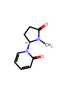 CN1C(=O)CC[C@@H]1n1ccccc1=O